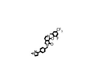 Cc1cc(C(F)(F)F)cc(F)c1Oc1nccc2c1C(=O)N(Cc1ccc(-c3ccn(C)n3)cc1)C2